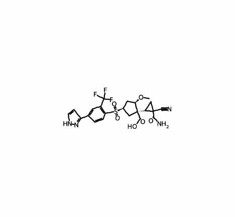 CO[C@@H]1C[C@H](S(=O)(=O)c2ccc(-c3cc[nH]n3)cc2C(F)(F)F)C[C@@]1(C(=O)O)C1CC1(C#N)C(N)=O